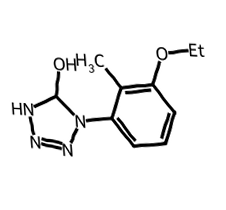 CCOc1cccc(N2N=NNC2O)c1C